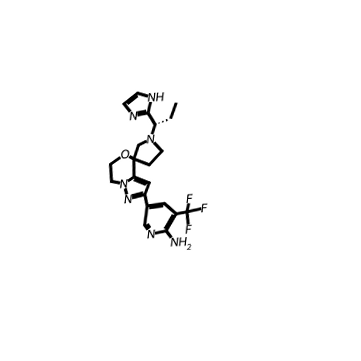 CC[C@@H](c1ncc[nH]1)N1CCC2(C1)OCCn1nc(-c3cnc(N)c(C(F)(F)F)c3)cc12